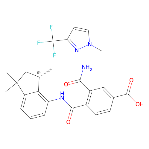 C[C@H]1CC(C)(C)c2cccc(NC(=O)c3ccc(C(=O)O)cc3C(N)=O)c21.Cn1ccc(C(F)(F)F)n1